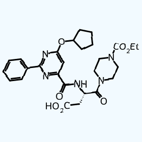 CCOC(=O)N1CCN(C(=O)[C@H](CC(=O)O)NC(=O)c2cc(OC3CCCC3)nc(-c3ccccc3)n2)CC1